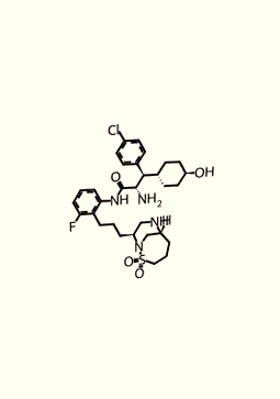 N[C@H](C(=O)Nc1cccc(F)c1CCC[C@H]1CN[C@@H]2CCCS(=O)(=O)N1C2)[C@@H](c1ccc(Cl)cc1)[C@H]1CC[C@H](O)CC1